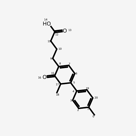 Cc1ccc(C2=CC=C(CCCC(=O)O)C(=O)C2C)cc1